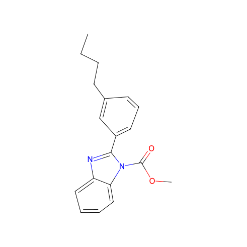 CCCCc1cccc(-c2nc3ccccc3n2C(=O)OC)c1